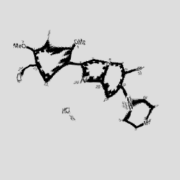 COc1cc(OC)c(-c2cn3cc(Br)c(N4CCNCC4)cc3n2)cc1Cl.Cl